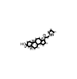 C[C@@]1(O)CC[C@@H]2C3CC[C@@]4(C)C(CC[C@@H]4C(=O)Cn4nccn4)C3CC[C@H]2C1